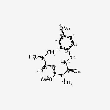 COC(=NC(=O)N(C)C)N(C)C(=O)NSc1ccc(OC)cc1